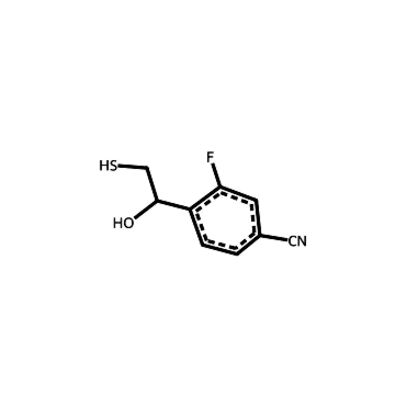 N#Cc1ccc(C(O)CS)c(F)c1